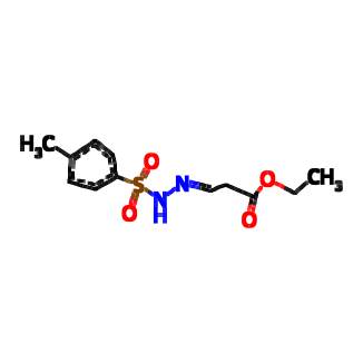 CCOC(=O)CC=NNS(=O)(=O)c1ccc(C)cc1